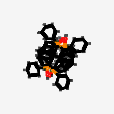 O=P(c1ccccc1)(c1ccccc1)c1cccc(P(=O)(c2ccccc2)c2ccccc2)c1-c1c(P(=O)(c2ccccc2)c2ccccc2)cccc1P(=O)(c1ccccc1)c1ccccc1